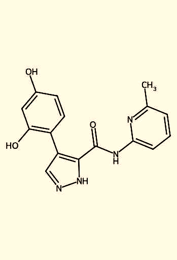 Cc1cccc(NC(=O)c2[nH]ncc2-c2ccc(O)cc2O)n1